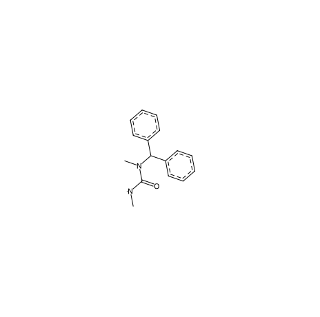 C[N]C(=O)N(C)C(c1ccccc1)c1ccccc1